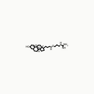 C[C@]12CCC(O)CC1CC[C@@H]1[C@H]2CC[C@]2(C)C(CCCNOCCCNC(=N)N)CC[C@@]12O